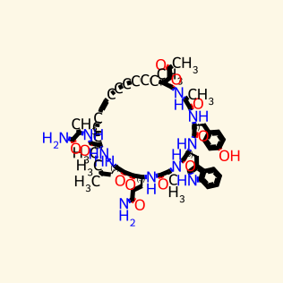 CC(=O)C[C@]1(C)CCCCCCC=CCCC[C@@](C)(C(=O)NC(C)C(N)=O)NN[C@@H](CC(C)C)C(=O)C(=O)[C@H](CCC(N)=O)NC(=O)C(C)NC(=O)[C@H](Cc2c[nH]c3ccccc23)NC(=O)[C@H](Cc2ccc(O)cc2)NC(=O)C(C)NC1=O